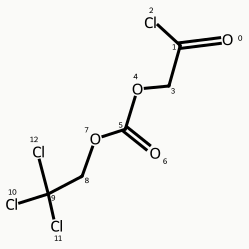 O=C(Cl)COC(=O)OCC(Cl)(Cl)Cl